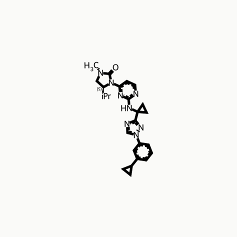 CC(C)[C@H]1CN(C)C(=O)N1c1ccnc(NC2(c3ncn(-c4cccc(C5CC5)c4)n3)CC2)n1